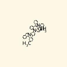 C#C/C=C\C1C(C)C2=C(c3ccccc3N1C1C=CC(C3=CCC(C)CC3c3nccc4ccccc34)=CC1)C1CCC=CC1N2c1ccccc1